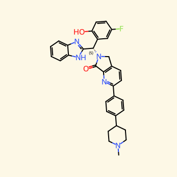 CN1CCC(c2ccc(-c3ccc4c(n3)C(=O)N([C@H](c3nc5ccccc5[nH]3)c3cc(F)ccc3O)C4)cc2)CC1